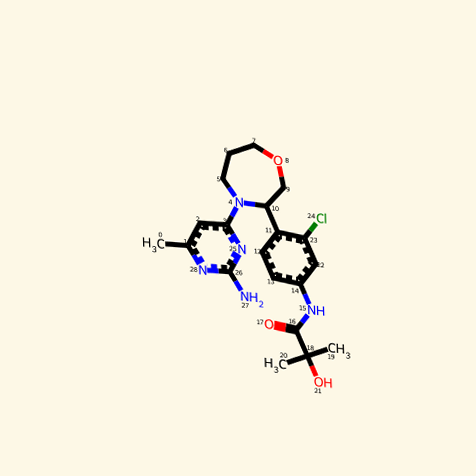 Cc1cc(N2CCCOCC2c2ccc(NC(=O)C(C)(C)O)cc2Cl)nc(N)n1